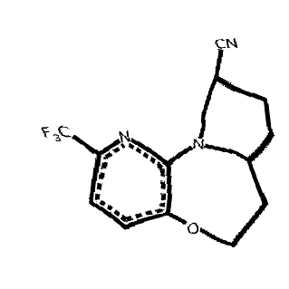 N#CC1CCC2CCOc3ccc(C(F)(F)F)nc3N2C1